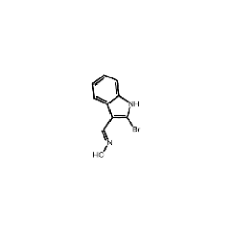 ON=Cc1c(Br)[nH]c2ccccc12